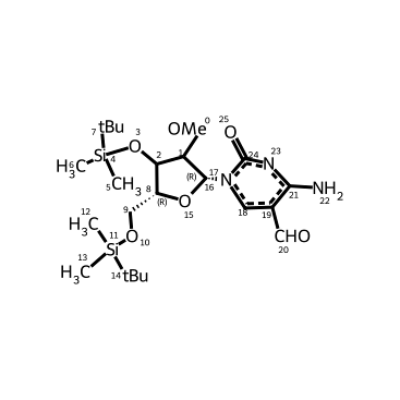 COC1C(O[Si](C)(C)C(C)(C)C)[C@@H](CO[Si](C)(C)C(C)(C)C)O[C@H]1n1cc(C=O)c(N)nc1=O